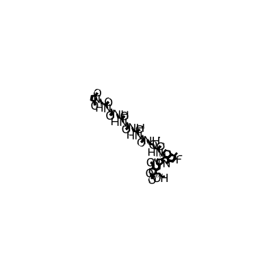 CCC[C@@]1(O)C(=O)OCc2c1cc1n(c2=O)Cc2c-1nc1cc(F)c(C)c3c1c2[C@@H](NC(=O)COCNC(=O)CNC(=O)CNC(=O)CNC(=O)CNC(=O)CNC(=O)CCN1C(=O)C=CC1=O)CC3